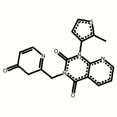 Cc1sccc1-n1c(=O)n(CC2=NC=CC(=O)C2)c(=O)c2cccnc21